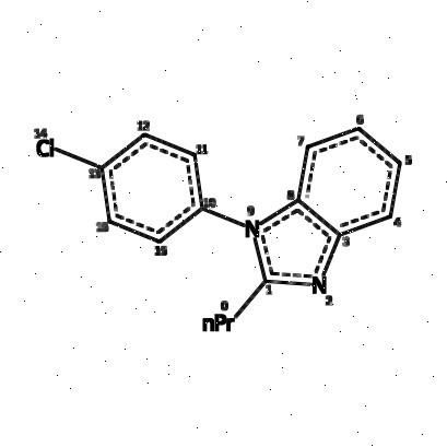 CCCc1nc2ccccc2n1-c1ccc(Cl)cc1